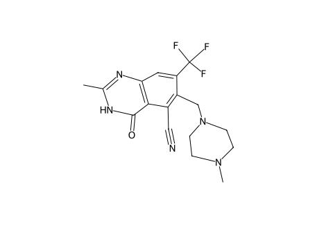 Cc1nc2cc(C(F)(F)F)c(CN3CCN(C)CC3)c(C#N)c2c(=O)[nH]1